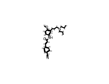 CCCN(CCC)CCCc1cc(NC(=O)C=Cc2ccc(C#N)cc2)ccc1OC